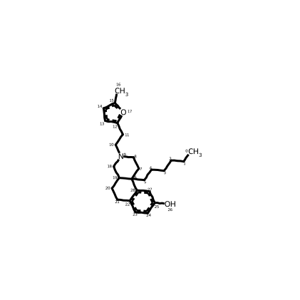 CCCCCCC12CCN(CCc3ccc(C)o3)CC1CCc1ccc(O)cc12